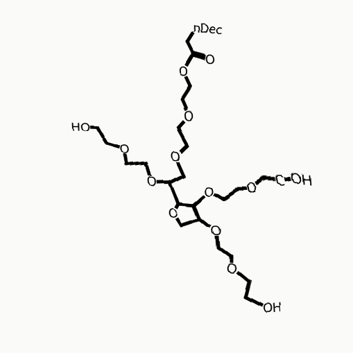 CCCCCCCCCCCC(=O)OCCOCCOCC(OCCOCCO)C1OCC(OCCOCCO)C1OCCOCCO